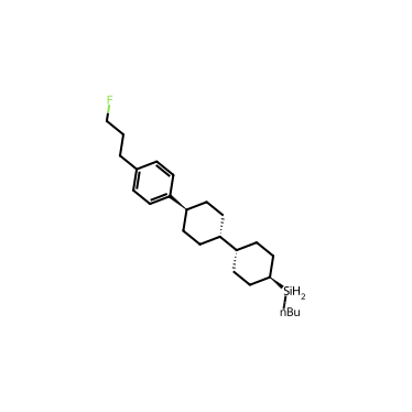 CCCC[SiH2][C@H]1CC[C@H]([C@H]2CC[C@H](c3ccc(CCCF)cc3)CC2)CC1